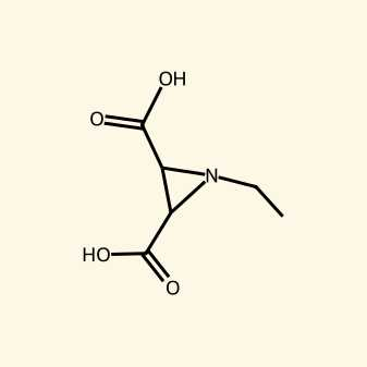 CCN1C(C(=O)O)C1C(=O)O